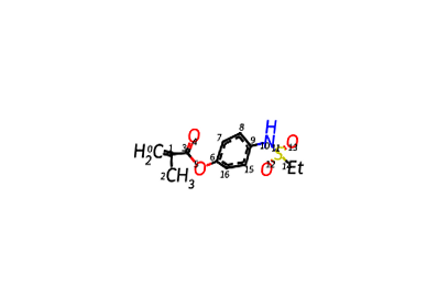 C=C(C)C(=O)Oc1ccc(NS(=O)(=O)CC)cc1